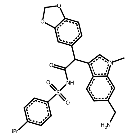 CC(C)c1ccc(S(=O)(=O)NC(=O)C(c2ccc3c(c2)OCO3)c2cn(C)c3cc(CN)ccc23)cc1